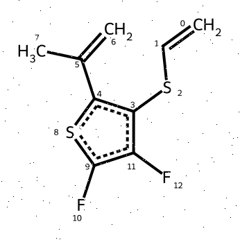 C=CSc1c(C(=C)C)sc(F)c1F